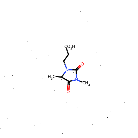 CC1C(=O)N(C)C(=O)N1CCC(=O)O